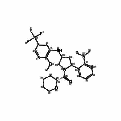 COc1ncc(C(F)(F)F)cc1NC1CC(c2cccnc2N(C)C)N(C(=O)[C@H]2CCCCO2)C1